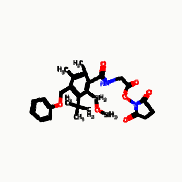 Cc1c(C)c(C(=O)NCC(=O)ON2C(=O)CCC2=O)c([SiH2]O[SiH3])c(C(C)(C)C)c1COc1ccccc1